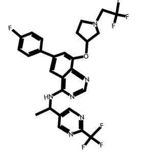 CC(Nc1ncnc2c(OC3CCN(CC(F)(F)F)C3)cc(-c3ccc(F)cc3)cc12)c1cnc(C(F)(F)F)nc1